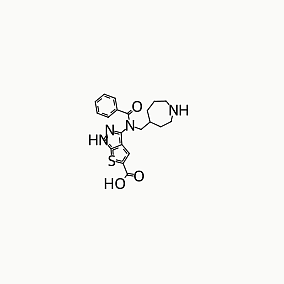 O=C(O)c1cc2c(N(CC3CCCNCC3)C(=O)c3ccccc3)n[nH]c2s1